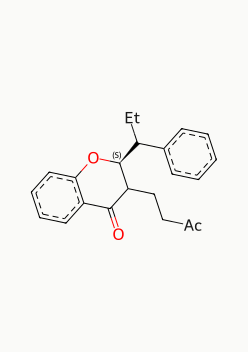 CCC(c1ccccc1)[C@@H]1Oc2ccccc2C(=O)C1CCC(C)=O